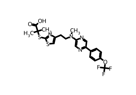 CN(CCc1csc(SC(C)(C)C(=O)O)n1)c1cnc(-c2ccc(OC(F)(F)F)cc2)cn1